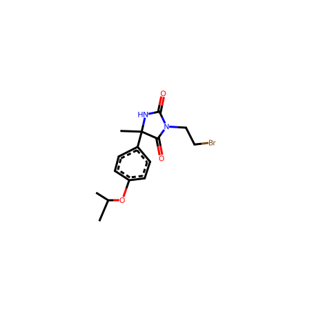 CC(C)Oc1ccc(C2(C)NC(=O)N(CCBr)C2=O)cc1